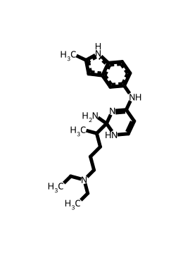 CCN(CC)CCCC(C)C1(N)N=C(Nc2ccc3[nH]c(C)cc3c2)C=CN1